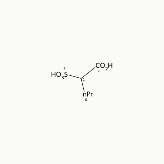 CCCC(C(=O)O)S(=O)(=O)O